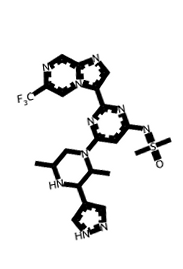 CC1CN(c2cc(N=S(C)(C)=O)nc(-c3cnc4cnc(C(F)(F)F)cn34)n2)C(C)C(c2cn[nH]c2)N1